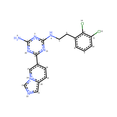 Nc1nc(NCCc2cccc(Cl)c2Cl)nc(-c2ccc3cncn3c2)n1